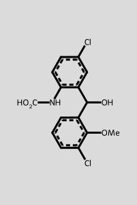 COc1c(Cl)cccc1C(O)c1cc(Cl)ccc1NC(=O)O